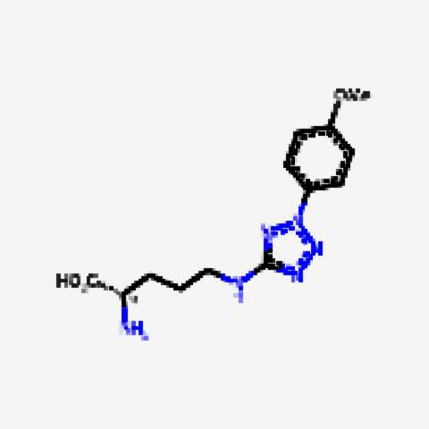 COc1ccc(-n2nnc(NCCC[C@H](N)C(=O)O)n2)cc1